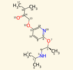 CC(C)NC[C@H](C)Oc1ccc(OCC(=O)C(C)C)cn1